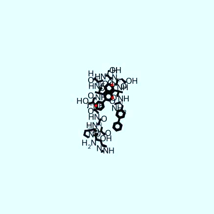 C[C@@H](O)[C@H](NC(=O)CNC(=O)[C@H](CCC(=O)O)NC(=O)[C@]1(C)CCCN1C(=O)[C@@H](N)Cc1c[nH]cn1)C(=O)NC(C)(Cc1ccccc1F)C(=O)N[C@H](C(=O)N[C@@H](CO)C(=O)N[C@@H](CC(=O)O)C(=O)NC(C)(Cc1ccc(-c2ccccc2)cc1)C(=O)N[C@@H](Cc1ccc(-c2ccccc2)cc1)C(N)=O)[C@@H](C)O